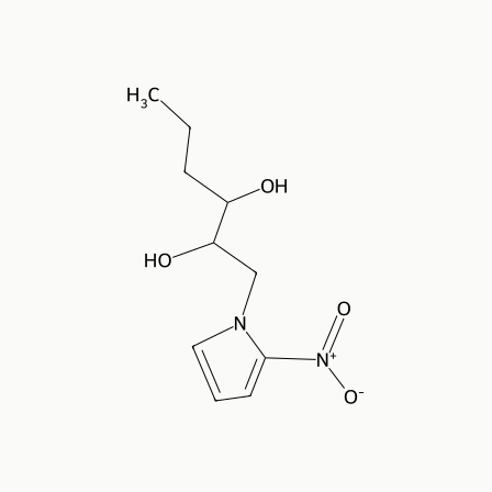 CCCC(O)C(O)Cn1cccc1[N+](=O)[O-]